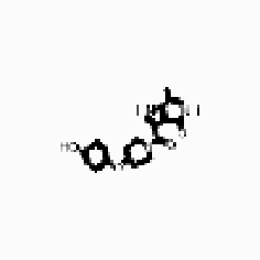 Cc1c[nH]c(=O)c2c(C(=O)N3CCC(Oc4ccc(O)cc4)CC3)c[nH]c12